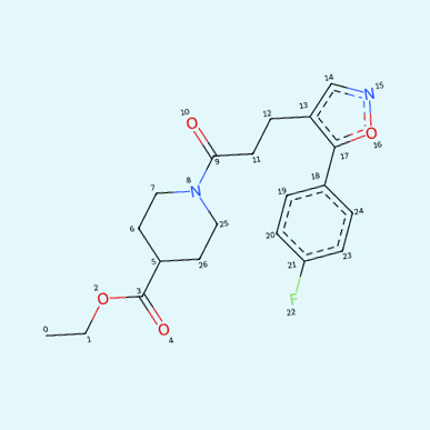 CCOC(=O)C1CCN(C(=O)CCc2cnoc2-c2ccc(F)cc2)CC1